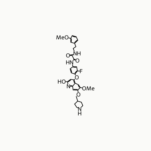 COc1cccc(CCNC(=O)C(=O)Nc2ccc(Oc3cc(O)nc4cc(OCC5CCNCC5)c(OC)cc34)c(F)c2)c1